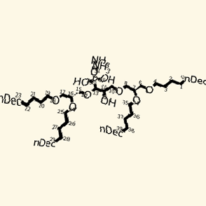 CCCCCCCCCCCCCCOC[C@H](COCC(O)C(OC[C@@H](COCCCCCCCCCCCCCC)OCCCCCCCCCCCCCC)P(=O)(O)O)OCCCCCCCCCCCCCC.N.N